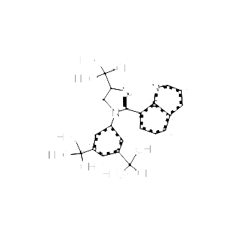 CC(C)(C)c1cc(N2CC(C(C)(C)C)N=C2c2cccc3cccnc23)cc(C(C)(C)C)c1